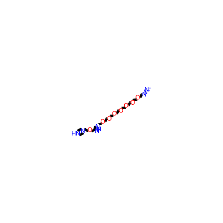 [N-]=[N+]=NCCOCCOCCOCCOCCOCCOCCOCCn1cc(COCCN2CCNCC2)nn1